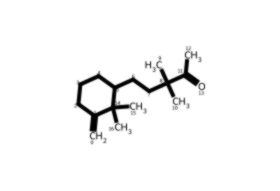 C=C1CCCC(C[CH]C(C)(C)C(C)=O)C1(C)C